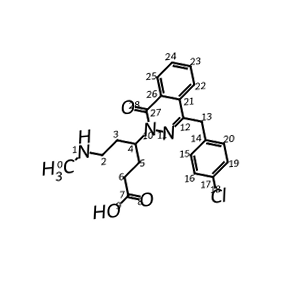 CNCCC(CCC(=O)O)n1nc(Cc2ccc(Cl)cc2)c2ccccc2c1=O